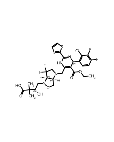 CCOC(=O)C1=C(CN2CC(F)(F)[C@H]3[C@@H]2CON3C[C@H](O)C(C)(C)C(=O)O)NC(c2nccs2)=N[C@H]1c1ccc(F)c(F)c1Cl